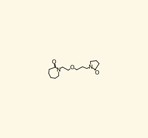 O=C1CCCN1CCCOCCN1CCCCCC1=O